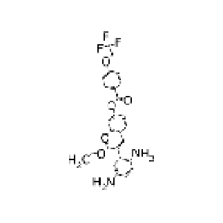 CCOC(=O)C(=Cc1ccc(OC(=O)c2ccc(OCC(F)(F)F)cc2)cc1)c1cc(N)ccc1N